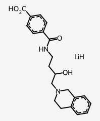 O=C(O)c1ccc(C(=O)NCCC(O)CN2CCc3ccccc3C2)cc1.[LiH]